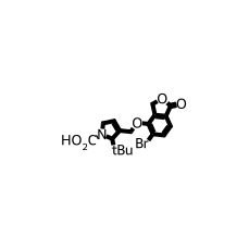 CC(C)(C)C1C(COc2c(Br)ccc3c2COC3=O)=CCN1C(=O)O